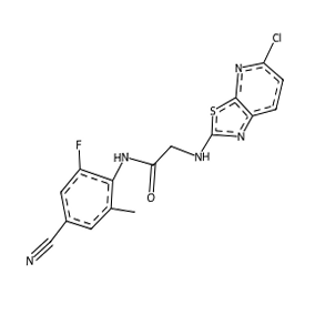 Cc1cc(C#N)cc(F)c1NC(=O)CNc1nc2ccc(Cl)nc2s1